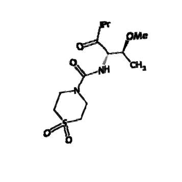 CO[C@@H](C)[C@H](NC(=O)N1CCS(=O)(=O)CC1)C(=O)C(C)C